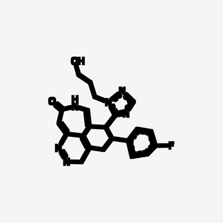 O=C1C=C2N=NCC3=C2C(=CN1)C(c1ncnn1CCCO)C(c1ccc(F)cc1)C3